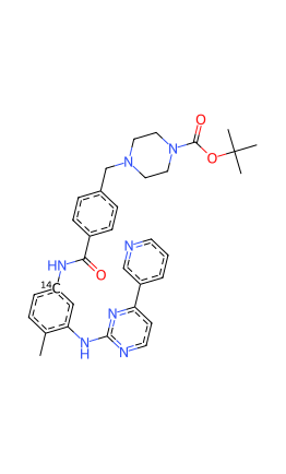 Cc1cc[14c](NC(=O)c2ccc(CN3CCN(C(=O)OC(C)(C)C)CC3)cc2)cc1Nc1nccc(-c2cccnc2)n1